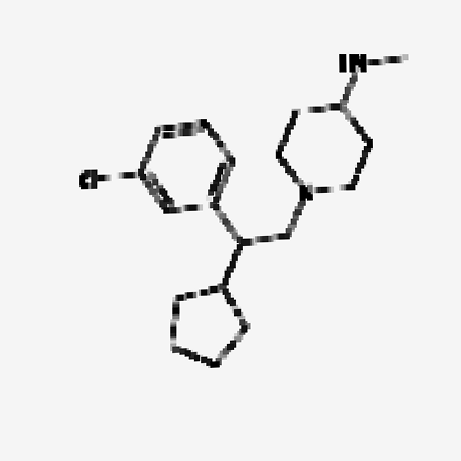 CNC1CCN(CC(c2cccc(Cl)c2)C2CCCC2)CC1